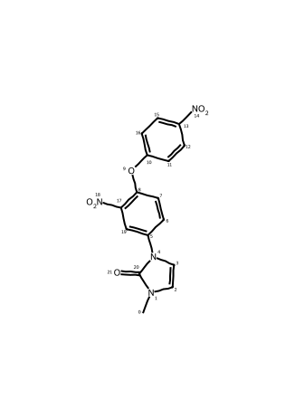 Cn1ccn(-c2ccc(Oc3ccc([N+](=O)[O-])cc3)c([N+](=O)[O-])c2)c1=O